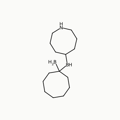 BC1(BC2CCCNCCC2)CCCCCCC1